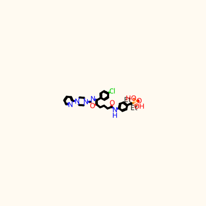 CCC(CC)(c1ccc(NC(=O)CCCc2oc(N3CCN(c4ccccn4)CC3)nc2-c2ccc(Cl)cc2)cc1)P(=O)(O)O